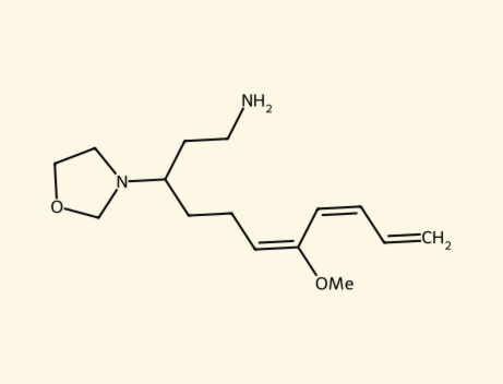 C=C/C=C\C(=C/CCC(CCN)N1CCOC1)OC